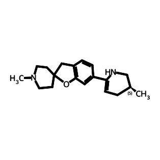 C[C@H]1CC=C(c2ccc3c(c2)OC2(CCN(C)CC2)C3)NC1